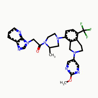 COc1ncc(N2CCc3c(C(F)(F)F)ccc(N4CCN(C(=O)Cn5cnc6cccnc65)C(C)C4)c3C2)cn1